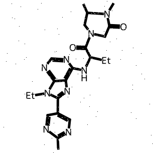 CCC(Nc1ncnc2c1nc(-c1cnc(C)nc1)n2CC)C(=O)N1CC(=O)N(C)C(C)C1